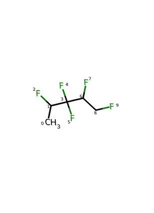 CC(F)C(F)(F)C(F)CF